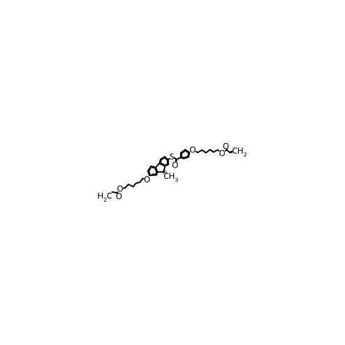 C=CC(=O)OCCCCCCOc1ccc(C(=O)Sc2ccc3c(c2)[C@H](C)c2cc(OCCCCCCOC(=O)C=C)ccc2-3)cc1